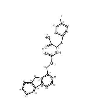 O=C(NC(Cc1ccc(I)cc1)C(=O)O)OCc1cccc2c1Cc1ccccc1-2